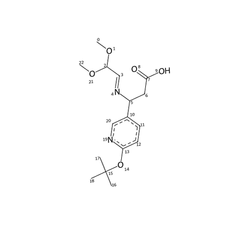 COC(C=NC(CC(=O)O)c1ccc(OC(C)(C)C)nc1)OC